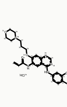 C=CC(=O)Nc1cc2c(Nc3ccc(F)c(Cl)c3)ncnc2cc1OCCCN1CCOCC1.Cl